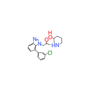 O=C(C[C@H]1NCCC[C@@H]1O)Cn1cnc2cccc(-c3cccc(Cl)c3)c21